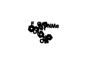 CNC1CCN(C(=O)NC(Cc2ccccc2F)C(=O)N2CCC(N3C(=O)C(C)(C)c4ccccc43)CC2)C1